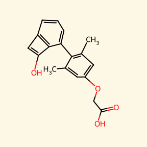 Cc1cc(OCC(=O)O)cc(C)c1-c1cccc2c1C(O)=C2